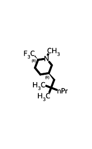 CCCC(C)(C)C[C@H]1CC[C@H](C(F)(F)F)N(C)C1